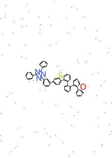 c1ccc(-c2nc(-c3ccccc3)nc(-c3cccc(-c4ccc5c(c4)sc4cccc(-c6ccccc6-c6cccc7oc8ccccc8c67)c45)c3)n2)cc1